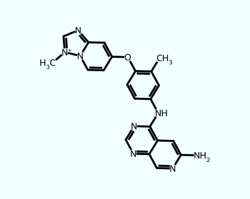 Cc1cc(Nc2ncnc3cnc(N)cc23)ccc1Oc1ccn2c(c1)nc[n+]2C